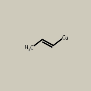 CC=[CH][Cu]